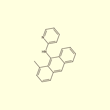 Cc1cccc2cc3ccccc3c(Nc3ccccn3)c12